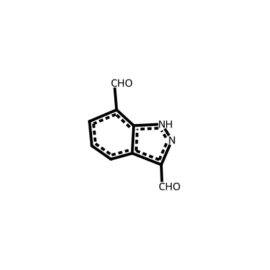 O=Cc1n[nH]c2c(C=O)cccc12